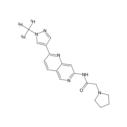 [2H]C([2H])([2H])n1cc(-c2ccc3cnc(NC(=O)CN4CCCC4)cc3n2)cn1